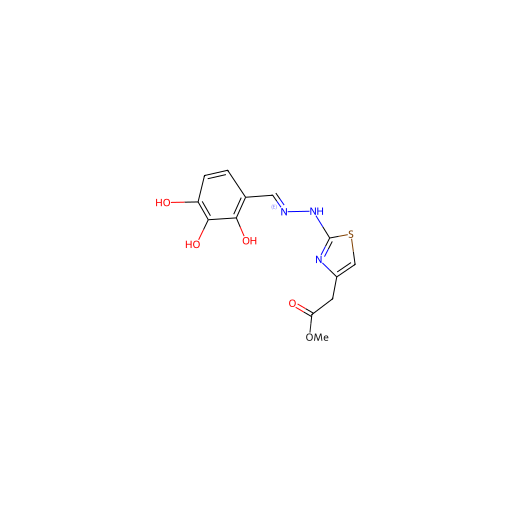 COC(=O)Cc1csc(N/N=C/c2ccc(O)c(O)c2O)n1